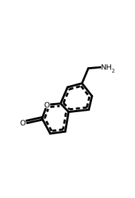 NCc1ccc2ccc(=O)oc2c1